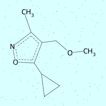 COCc1c(C)noc1C1CC1